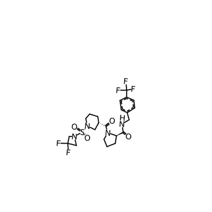 O=C(NCc1ccc(C(F)(F)F)cc1)[C@H]1CCCN1C(=O)[C@H]1CCCN(S(=O)(=O)N2CC(F)(F)C2)C1